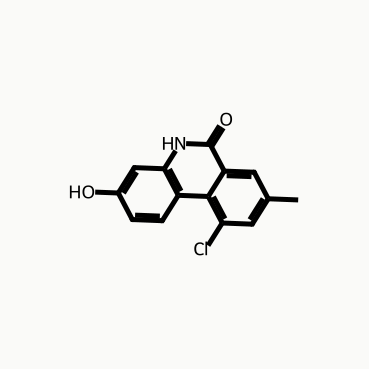 Cc1cc(Cl)c2c(c1)c(=O)[nH]c1cc(O)ccc12